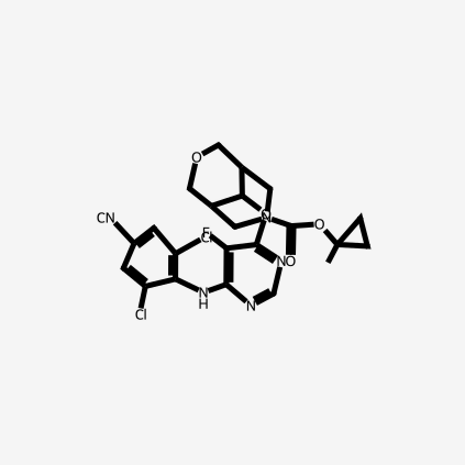 [C-]#[N+]c1cc(Cl)c(Nc2ncnc(OC3C4COCC3CN(C(=O)OC3(C)CC3)C4)c2F)c(Cl)c1